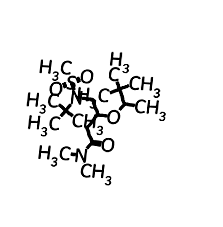 CC(OC(CC(=O)N(C)C)CN(C(C)(C)C)S(C)(=O)=O)C(C)(C)C